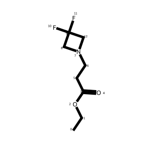 CCOC(=O)CCN1CC(F)(F)C1